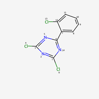 Clc1nc(Cl)nc(-c2ccccc2Cl)n1